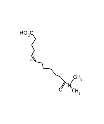 CN(C)C(=O)CCCCC/C=C\CCCC(=O)O